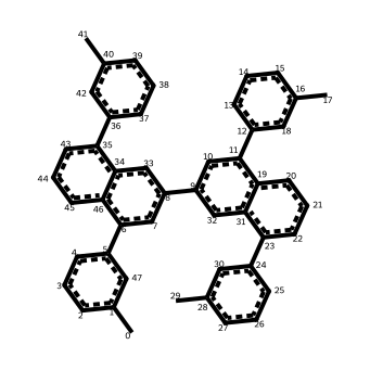 Cc1cccc(-c2cc(-c3cc(-c4cccc(C)c4)c4cccc(-c5cccc(C)c5)c4c3)cc3c(-c4cccc(C)c4)cccc23)c1